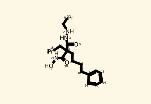 CC(C)CNNC(=O)C(CCCCc1ccccc1)(CC(C)C)C(=O)NO